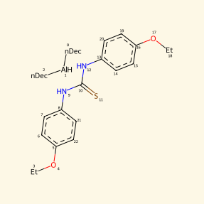 CCCCCCCCC[CH2][AlH][CH2]CCCCCCCCC.CCOc1ccc(NC(=S)Nc2ccc(OCC)cc2)cc1